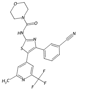 Cc1cc(-c2sc(NC(=O)N3CCOCC3)nc2-c2cccc(C#N)c2)cc(C(F)(F)F)n1